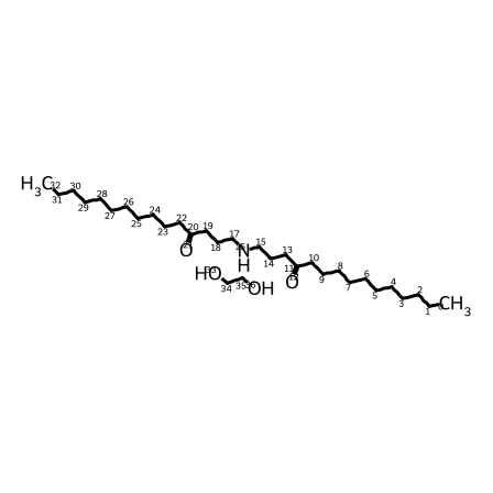 CCCCCCCCCCCC(=O)CCCNCCCC(=O)CCCCCCCCCCC.OCCO